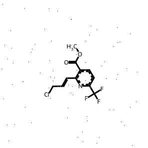 COC(=O)c1ccc(C(F)(F)F)nc1C=CCCl